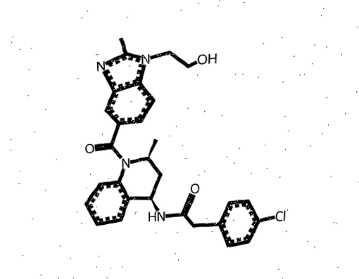 Cc1nc2cc(C(=O)N3c4ccccc4[C@H](NC(=O)Cc4ccc(Cl)cc4)C[C@@H]3C)ccc2n1CCO